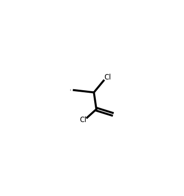 [CH2]C(Cl)C(=C)Cl